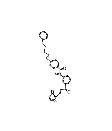 O=C(/C=C/c1ncc[nH]1)c1cccc(NC(=O)c2ccc(OCCCCc3ccccc3)cc2)c1